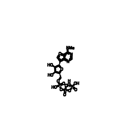 CNc1ncnc2c([C@@H]3O[C@H](COP(=O)(O)OP(=O)(O)OP(=O)(O)O)[C@@H](O)[C@H]3O)coc12